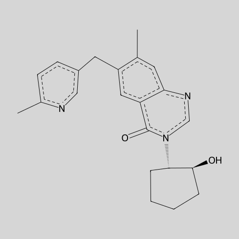 Cc1ccc(Cc2cc3c(=O)n([C@H]4CCCC[C@@H]4O)cnc3cc2C)cn1